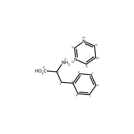 NC(Cc1ccccc1)C(=O)O.c1cncnc1